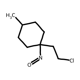 CC1CCC(CCCl)(N=O)CC1